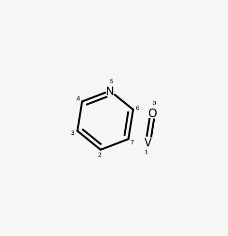 [O]=[V].c1ccncc1